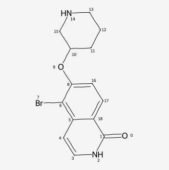 O=c1[nH]ccc2c(Br)c(OC3CCCNC3)ccc12